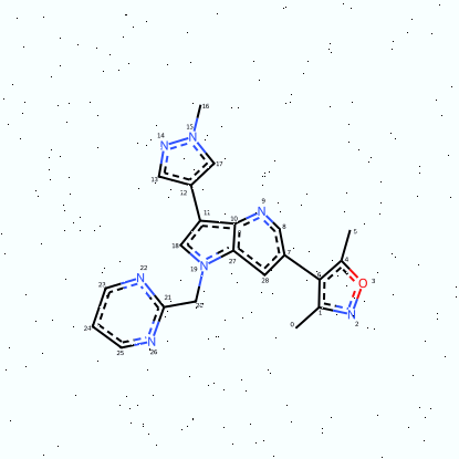 Cc1noc(C)c1-c1cnc2c(-c3cnn(C)c3)cn(Cc3ncccn3)c2c1